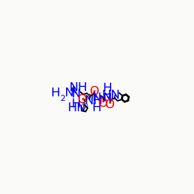 N=C(N)NCCC[C@H](NC(=O)[C@@H]1CCCN1)C(=O)NCC(=O)NC(=O)C1Cc2ccccc2CN1